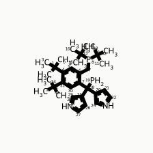 CC(C)(C)c1cc(CP(C(C)(C)C)C(C)(C)C)c(C(P)(c2cc[nH]c2)c2cc[nH]c2)cc1C(C)(C)C